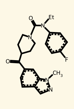 CCN(C(=O)N1CCC(C(=O)c2ccc3cnn(C)c3c2)CC1)c1ccc(F)cc1